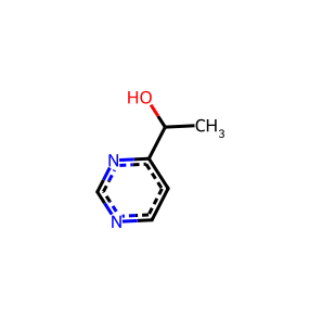 CC(O)c1ccncn1